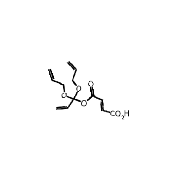 C=CCOC(C=C)(OCC=C)OC(=O)C=CC(=O)O